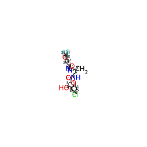 C=C(CCNC(=O)[C@@H]1C[C@@H](O)c2cc(Cl)ccc2O1)c1nnc([C@H]2C[C@@H](OC(F)(F)F)C2)o1